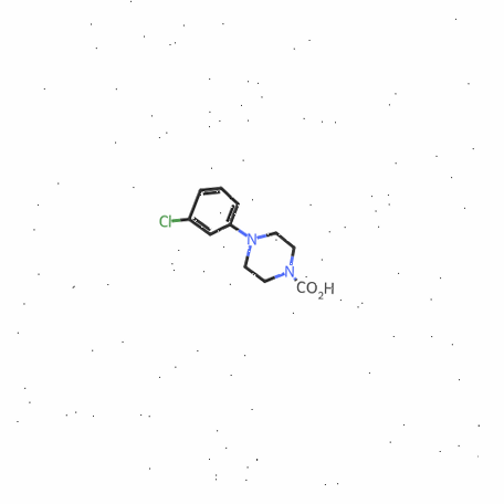 O=C(O)N1CCN(c2cccc(Cl)c2)CC1